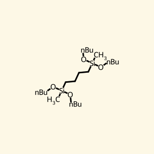 CCCCO[Si](C)(CCCC[Si](C)(OCCCC)OCCCC)OCCCC